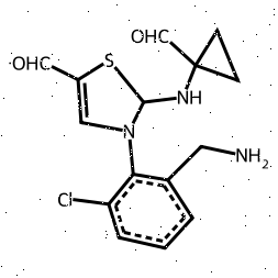 NCc1cccc(Cl)c1N1C=C([C]=O)SC1NC1(C=O)CC1